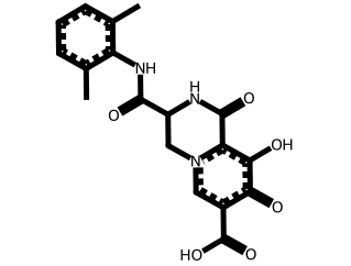 Cc1cccc(C)c1NC(=O)C1Cn2cc(C(=O)O)c(=O)c(O)c2C(=O)N1